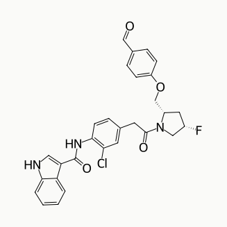 O=Cc1ccc(OC[C@@H]2C[C@H](F)CN2C(=O)Cc2ccc(NC(=O)c3c[nH]c4ccccc34)c(Cl)c2)cc1